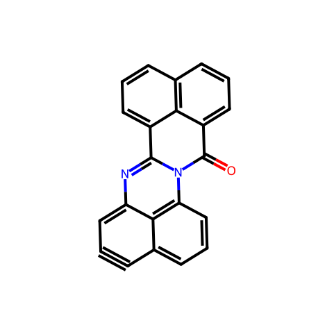 O=c1c2cccc3cccc(c32)c2nc3cc#cc4cccc(c43)n12